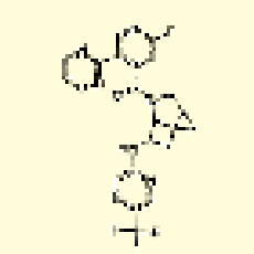 O=C(c1cc(F)ccc1-c1ncccn1)N1CC2CC23CC(Nc2cnc(C(F)(F)F)cn2)C13